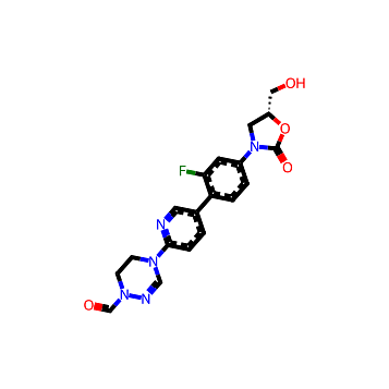 O=CN1CCN(c2ccc(-c3ccc(N4C[C@H](CO)OC4=O)cc3F)cn2)C=N1